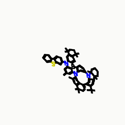 Cc1cc2c3c(c1)N1c4cc5c(cc4C)C(C)(C)CCC5(C)c4cc5c(cc4C(C)(C)C)C4(C)CCCCC4(C)N5c4ccc(c1c4)B3c1cc3c(cc1N2c1ccc2c(c1)sc1ccccc12)C(C)(C)CCC3(C)C